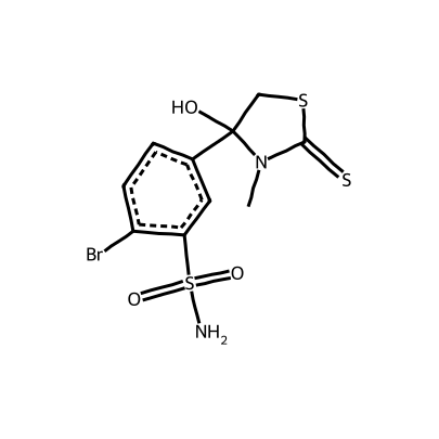 CN1C(=S)SCC1(O)c1ccc(Br)c(S(N)(=O)=O)c1